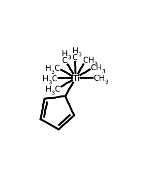 [CH3][Ti]([CH3])([CH3])([CH3])([CH3])([CH3])([CH3])([CH3])[CH]1C=CC=C1